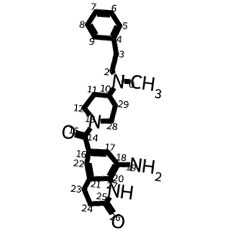 CN(CCc1ccccc1)C1CCN(C(=O)c2cc(N)c3c(c2)CCC(=O)N3)CC1